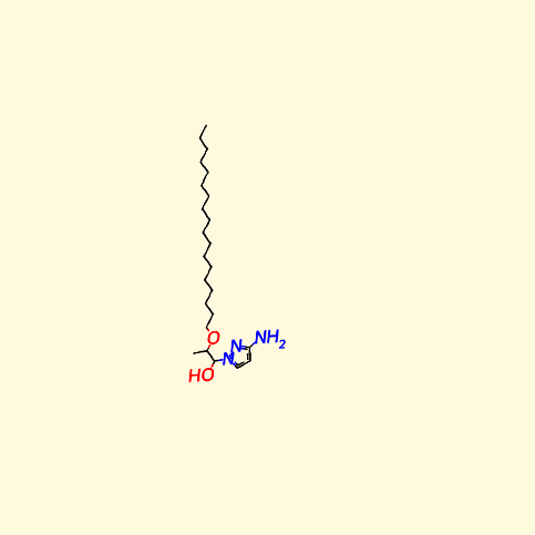 CCCCCCCCCCCCCCCCCCOC(C)C(O)n1ccc(N)n1